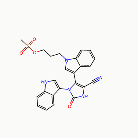 CS(=O)(=O)OCCCn1cc(-c2c(C#N)[nH]c(=O)n2-c2c[nH]c3ccccc23)c2ccccc21